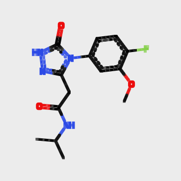 COc1cc(-n2c(CC(=O)NC(C)C)n[nH]c2=O)ccc1F